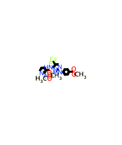 COC(=O)c1ccc(Nc2ncc(C(F)(F)F)c(NCc3cccnc3N(C)S(C)(=O)=O)n2)cc1